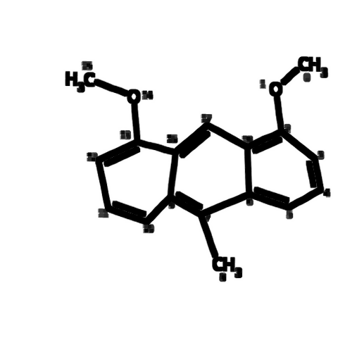 COc1cccc2c(C)c3cccc(OC)c3cc12